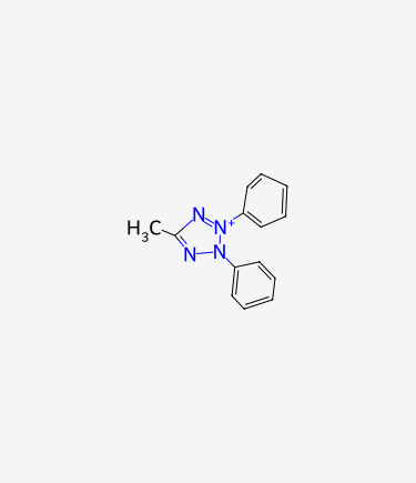 Cc1nn(-c2ccccc2)[n+](-c2ccccc2)n1